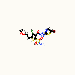 COCCc1sc(S(N)(=O)=O)c(C(=O)Nc2ncc(Br)s2)c1Cl